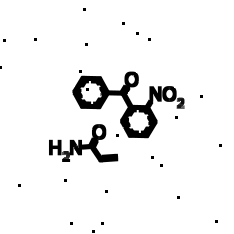 C=CC(N)=O.O=C(c1ccccc1)c1ccccc1[N+](=O)[O-]